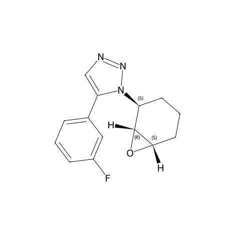 Fc1cccc(-c2cnnn2[C@H]2CCC[C@@H]3O[C@@H]32)c1